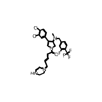 CN(Cc1ccc(C(F)(F)F)c(F)c1)C1CN(C(=O)CCCCN2CCNCC2)CC1c1ccc(Cl)c(Cl)c1